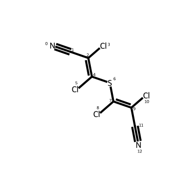 N#CC(Cl)=C(Cl)SC(Cl)=C(Cl)C#N